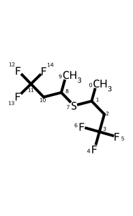 CC(CC(F)(F)F)SC(C)CC(F)(F)F